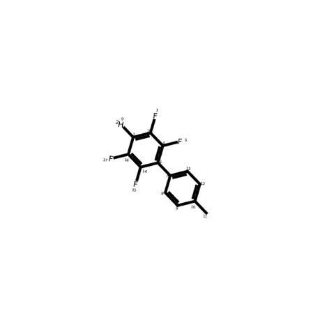 [2H]c1c(F)c(F)c(-c2ccc(C)cc2)c(F)c1F